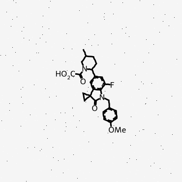 COc1ccc(CN2C(=O)C3(CC3)c3cc(C4CCC(C)CN4C(=O)C(=O)O)cc(F)c32)cc1